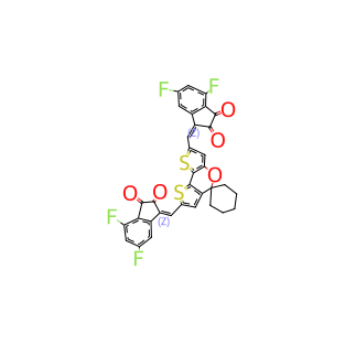 O=C1C(=O)c2c(F)cc(F)cc2/C1=C/c1cc2c(s1)-c1sc(/C=C3\C(=O)C(=O)c4c(F)cc(F)cc43)cc1C1(CCCCC1)O2